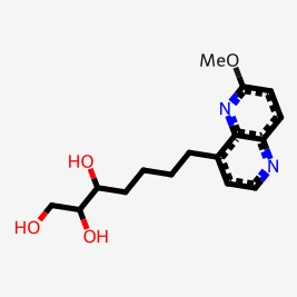 COc1ccc2nccc(CCCCC(O)C(O)CO)c2n1